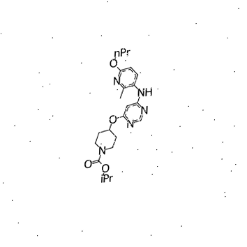 CCCOc1ccc(Nc2cc(OC3CCN(C(=O)OC(C)C)CC3)ncn2)c(C)n1